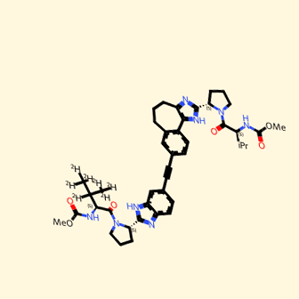 [2H]C([2H])([2H])C([2H])([C@H](NC(=O)OC)C(=O)N1CCC[C@H]1c1nc2ccc(C#Cc3ccc4c(c3)CCCc3nc([C@@H]5CCCN5C(=O)[C@@H](NC(=O)OC)C(C)C)[nH]c3-4)cc2[nH]1)C([2H])([2H])[2H]